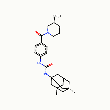 C[C@]12CC3CC(NC(=O)Nc4ccc(C(=O)N5CCC[C@H](C(=O)O)C5)cc4)(C1)C[C@@](C)(C3)C2